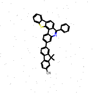 CC1(C)c2cc(C#N)ccc2-c2ccc(-c3ccc4c(c3)nc(-c3ccccc3)c3ccc5c6ccccc6sc5c34)cc21